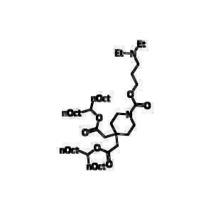 CCCCCCCCC(CCCCCCCC)OC(=O)CC1(CC(=O)OC(CCCCCCCC)CCCCCCCC)CCN(C(=O)OCCCN(CC)CC)CC1